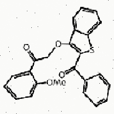 COc1ccccc1C(=O)COc1c(C(=O)c2ccccc2)sc2ccccc12